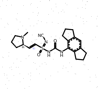 CN1CCC[C@@H]1/C=C/S(=O)(=NC#N)NC(=O)Nc1c2c(cc3c1CCC3)CCC2